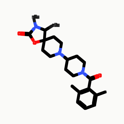 CCCCC1N(CCCC)C(=O)OC12CCN(C1CCN(C(=O)c3c(C)cccc3C)CC1)CC2